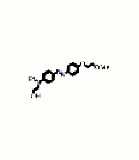 CCN(CCO)c1ccc(/N=N/c2ccc(OCCOC)cc2)cc1